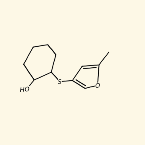 Cc1cc(SC2CCCCC2O)co1